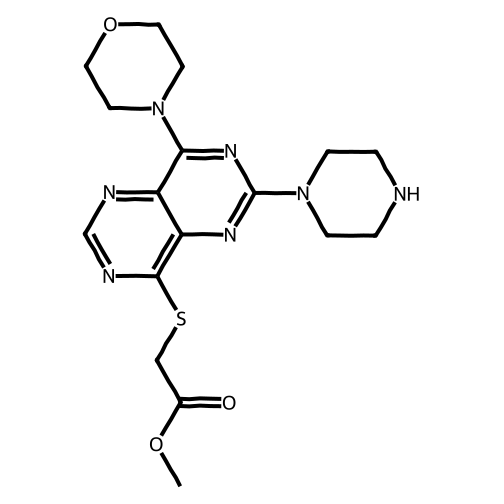 COC(=O)CSc1ncnc2c(N3CCOCC3)nc(N3CCNCC3)nc12